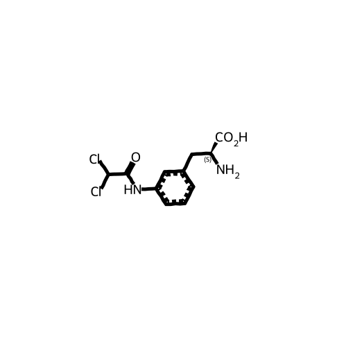 N[C@@H](Cc1cccc(NC(=O)C(Cl)Cl)c1)C(=O)O